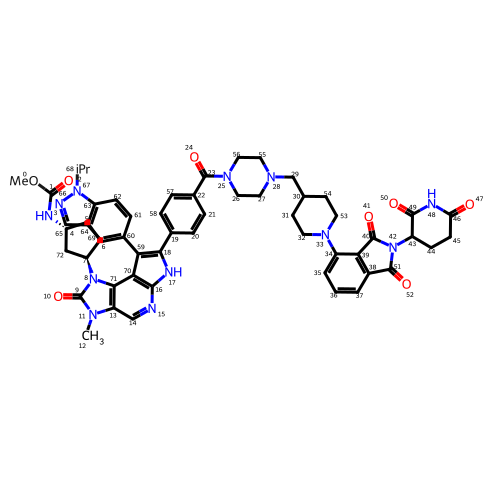 COC(=O)N[C@@H]1CC[C@@H](n2c(=O)n(C)c3cnc4[nH]c(-c5ccc(C(=O)N6CCN(CC7CCN(c8cccc9c8C(=O)N(C8CCC(=O)NC8=O)C9=O)CC7)CC6)cc5)c(-c5ccc6c(cnn6C(C)C)c5)c4c32)C1